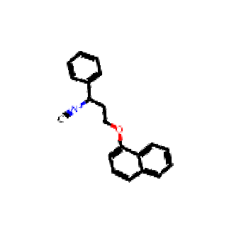 [C-]#[N+]C(CCOc1cccc2ccccc12)c1ccccc1